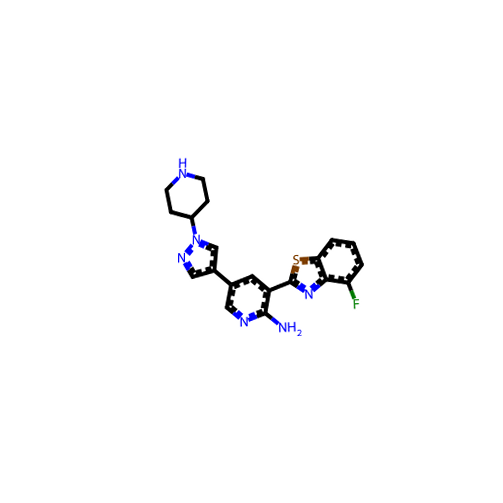 Nc1ncc(-c2cnn(C3CCNCC3)c2)cc1-c1nc2c(F)cccc2s1